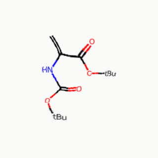 C=C(NC(=O)OC(C)(C)C)C(=O)OC(C)(C)C